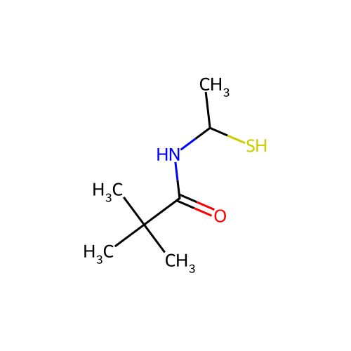 CC(S)NC(=O)C(C)(C)C